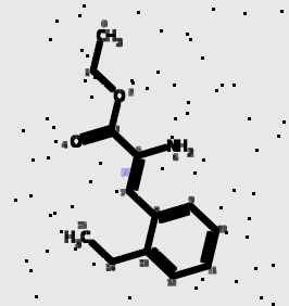 CCOC(=O)/C(N)=C/c1ccccc1CC